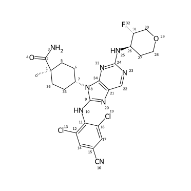 C[C@]1(C(N)=O)CC[C@H](n2c(Nc3c(Cl)cc(C#N)cc3Cl)nc3cnc(N[C@@H]4CCOC[C@H]4F)nc32)CC1